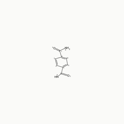 [NH]C(=O)c1ccc(C(N)=O)cc1